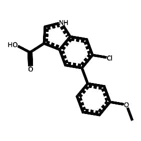 COc1cccc(-c2cc3c(C(=O)O)c[nH]c3cc2Cl)c1